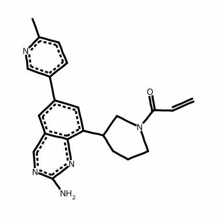 C=CC(=O)N1CCCC(c2cc(-c3ccc(C)nc3)cc3cnc(N)nc23)C1